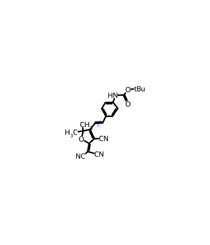 CC(C)(C)OC(=O)Nc1ccc(/C=C/C2=C(C#N)C(=C(C#N)C#N)OC2(C)C)cc1